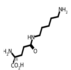 NCCCCCNC(=O)CC[C@H](N)C(=O)O